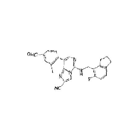 Cc1cc(C=O)ccc1-c1cnc(NCc2c(F)ccc3c2CCC3)n2cc(C#N)nc12